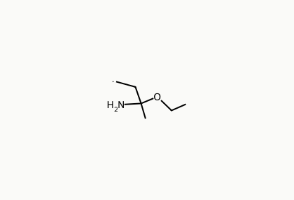 [CH2]CC(C)(N)OCC